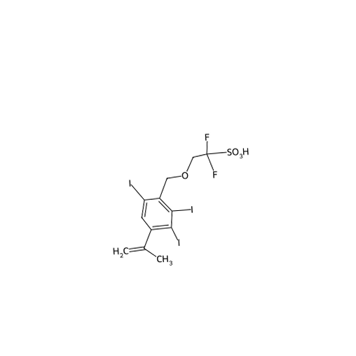 C=C(C)c1cc(I)c(COCC(F)(F)S(=O)(=O)O)c(I)c1I